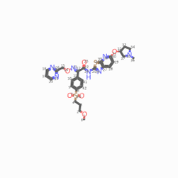 COCCCS(=O)(=O)c1ccc(/C(=N\OCc2ncccn2)C(=O)Nc2nc3ccc(O[C@H]4CCN(C)C4)nc3s2)cc1